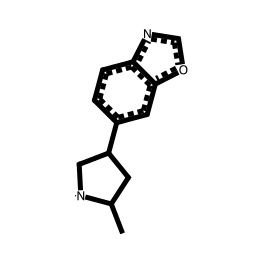 CC1CC(c2ccc3ncoc3c2)C[N]1